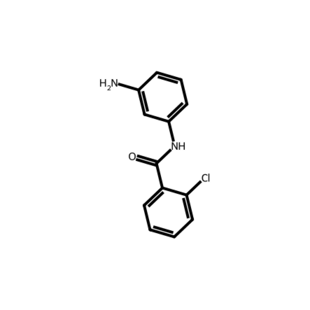 Nc1cccc(NC(=O)c2ccccc2Cl)c1